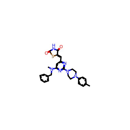 Cc1ccc(N2CCN(c3nc(/C=C4\SC(=O)NC4=O)cc(N(C)Cc4ccccc4)n3)CC2)cc1